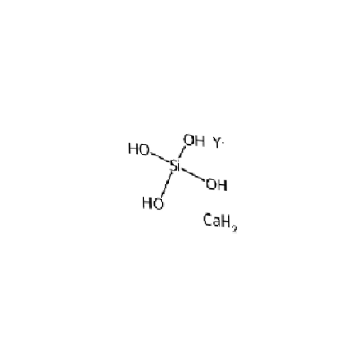 O[Si](O)(O)O.[CaH2].[Y]